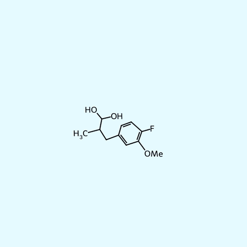 COc1cc(CC(C)C(O)O)ccc1F